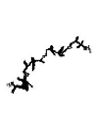 CC(N)CC(C)(C)OCC(C)C(C)(C)C(C)OCCC(C)(C)C(C)(C)OCC(C)C(C)(C)N